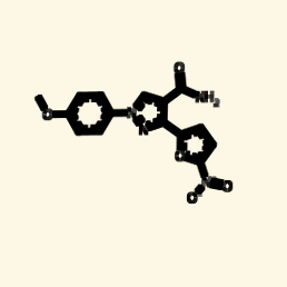 COc1ccc(-n2cc(C(N)=O)c(-c3ccc([N+](=O)[O-])o3)n2)cc1